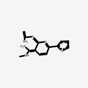 C=C(N)/N=C1/N=C(c2cccs2)C=C/C1=C(/N)NC